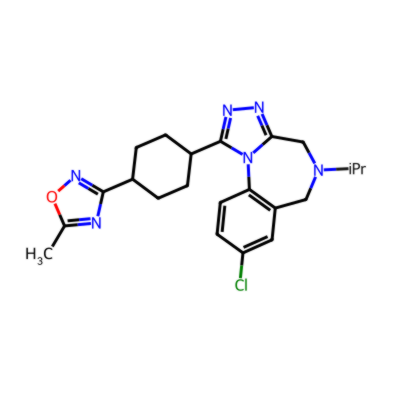 Cc1nc(C2CCC(c3nnc4n3-c3ccc(Cl)cc3CN(C(C)C)C4)CC2)no1